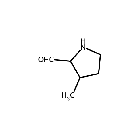 CC1CCNC1C=O